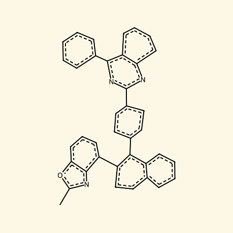 Cc1nc2c(-c3ccc4ccccc4c3-c3ccc(-c4nc(-c5ccccc5)c5ccccc5n4)cc3)cccc2o1